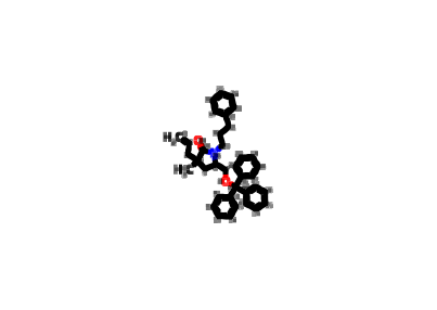 C=CCC1(C)CC(COC(c2ccccc2)(c2ccccc2)c2ccccc2)N(CCCc2ccccc2)C1=O